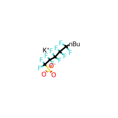 CCCCC(F)(F)C(F)(F)C(F)(F)C(F)(F)C(F)(F)S(=O)(=O)[O-].[K+]